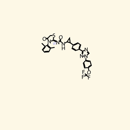 Cc1cccc(C)c1N1C(=O)CS/C1=N\C(=O)NC1CC1c1ccc(-c2ncn(-c3ccc(OC(F)(F)F)cc3)n2)cc1